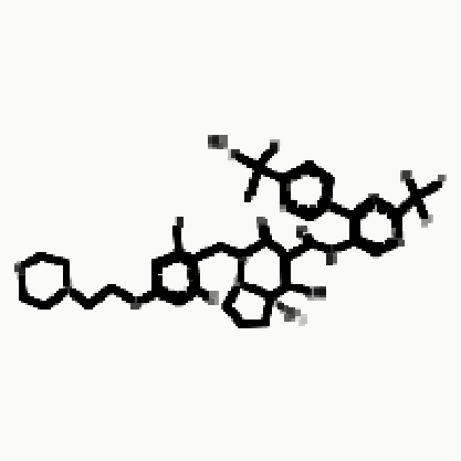 C[C@]12CCCN1N(Cc1c(Cl)cc(OCCN3CCOCC3)cc1Cl)C(=O)C(C(=O)Nc1cnc(C(F)(F)F)nc1-c1ccc(C(F)(F)F)nc1)=C2O.Cl